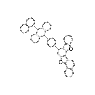 c1ccc2c(-c3c4ccccc4c(-c4ccc(-c5cc6oc7c8ccccc8ccc7c6c6oc7ccccc7c56)cc4)c4ccccc34)cccc2c1